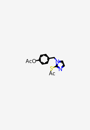 CC(=O)Oc1ccc(Cn2ccnc2SC(C)=O)cc1